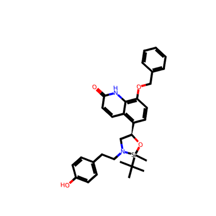 CC(C)(C)[Si]1(C)O[C@H](c2ccc(OCc3ccccc3)c3[nH]c(=O)ccc23)CN1CCc1ccc(O)cc1